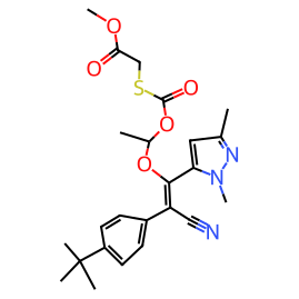 COC(=O)CSC(=O)OC(C)O/C(=C(/C#N)c1ccc(C(C)(C)C)cc1)c1cc(C)nn1C